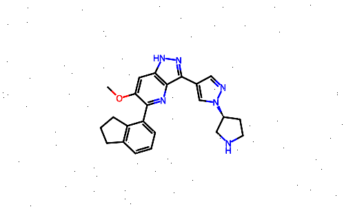 COc1cc2[nH]nc(-c3cnn([C@H]4CCNC4)c3)c2nc1-c1cccc2c1CCC2